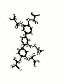 C=C(C)C(=O)Oc1ccc(-c2ccc(-c3ccc(OC(=O)C(=C)C)c(OC(=O)C(=C)C)c3)c(OCC3CO3)c2)cc1OC(=O)C(=C)C